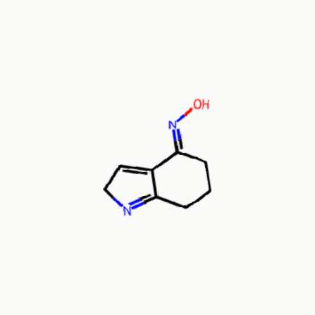 O/N=C1\CCCC2=NCC=C21